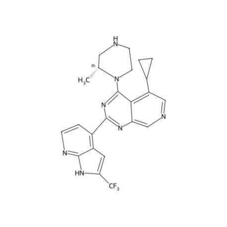 C[C@@H]1CNCCN1c1nc(-c2ccnc3[nH]c(C(F)(F)F)cc23)nc2cncc(C3CC3)c12